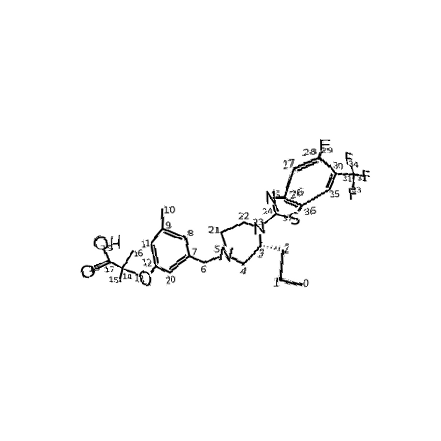 CCC[C@@H]1CN(Cc2cc(C)cc(OC(C)(C)C(=O)O)c2)CCN1c1nc2cc(F)c(C(F)(F)F)cc2s1